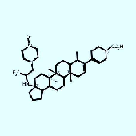 CC1C(C2=CC[C@H](C(=O)O)CC2)=CC[C@@]2(C)C1CC[C@]1(C)C2CCC2C3CCC[C@]3(NC(CN3CC[S+]([O-])CC3)C(F)(F)F)CC[C@]21C